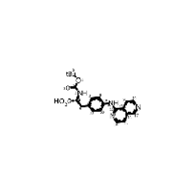 CC(C)(C)OC(=O)N[C@@H](Cc1ccc(Nc2nccc3cnccc23)cc1)C(=O)O